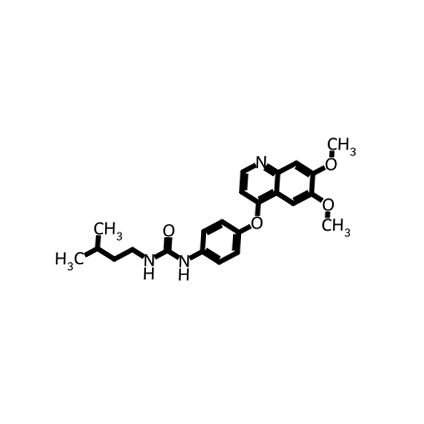 COc1cc2nccc(Oc3ccc(NC(=O)NCCC(C)C)cc3)c2cc1OC